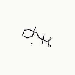 CC(C)(CC[N+]1(C)CCOCC1)N(Cl)Cl.[Cl-]